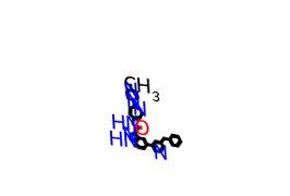 CN1CCN(C2=NCC=C(NC(=O)c3n[nH]c4ccc(-c5cncc(Cc6ccccc6)c5)cc34)C=C2)CC1